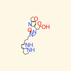 O=C(O)C[C@H](c1cnc2c(c1)OCC2)N1CCN(CCCC2=CC=C3CCCNC3N2)C1=O